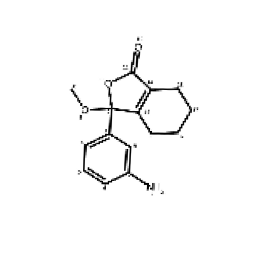 COC1(c2cccc(N)c2)OC(=O)C2=C1CCCC2